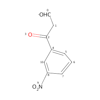 O=[C]CC(=O)c1cccc([N+](=O)[O-])c1